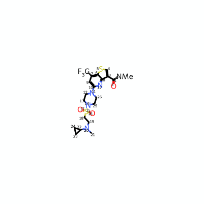 CNC(=O)c1csc2c(C(F)(F)F)cc(N3CCN(S(=O)(=O)CCN(C)C4CC4)CC3)nc12